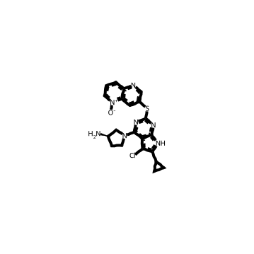 N[C@@H]1CCN(c2nc(Sc3cnc4ccc[n+]([O-])c4c3)nc3[nH]c(C4CC4)c(Cl)c23)C1